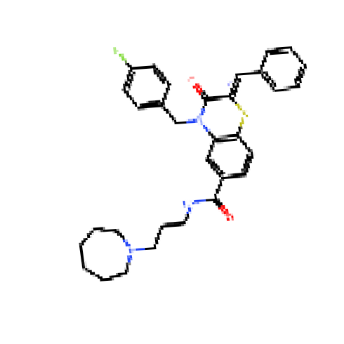 O=C(NCCCN1CCCCCC1)c1ccc2c(c1)N(Cc1ccc(F)cc1)C(=O)/C(=C/c1ccccc1)S2